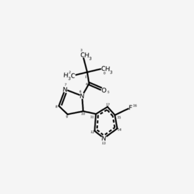 CC(C)(C)C(=O)N1N=CCC1c1cncc(F)c1